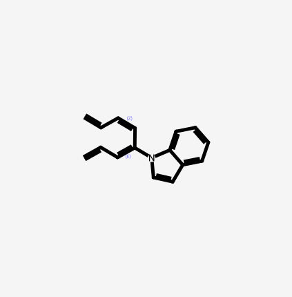 C=C/C=C\C(=C/C=C)n1ccc2ccccc21